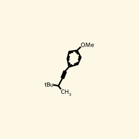 COc1ccc(C#CC(C)C(C)(C)C)cc1